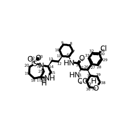 O=C(O)N[C@H](C(=O)N[C@H]1CCCC[C@@H]1CC[C@H]1CN[C@@H]2CCCS(=O)(=O)N1C2)[C@@H](c1ccc(Cl)cc1)C1CCOCC1